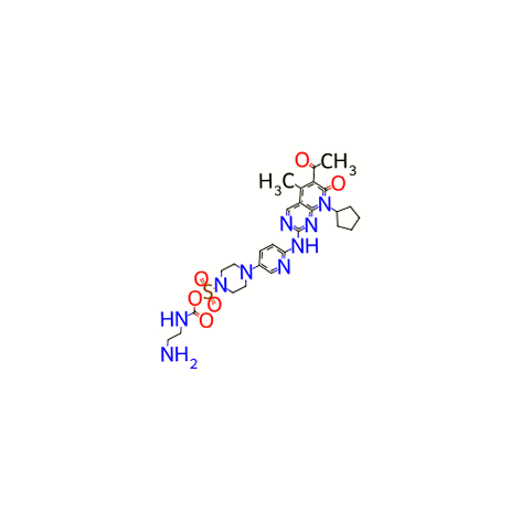 CC(=O)c1c(C)c2cnc(Nc3ccc(N4CCN(S(=O)(=O)OC(=O)NCCN)CC4)cn3)nc2n(C2CCCC2)c1=O